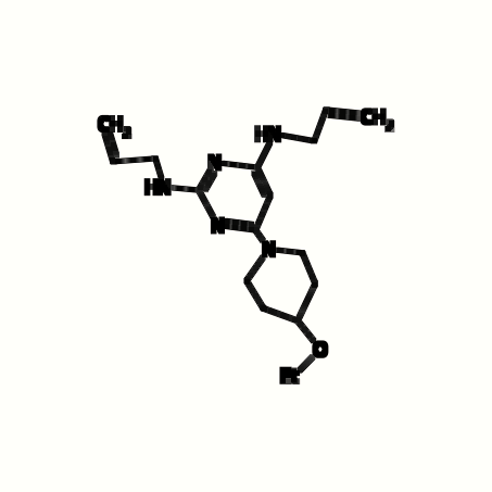 C=CCNc1cc(N2CCC(OCC)CC2)nc(NCC=C)n1